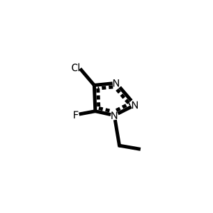 CCn1nnc(Cl)c1F